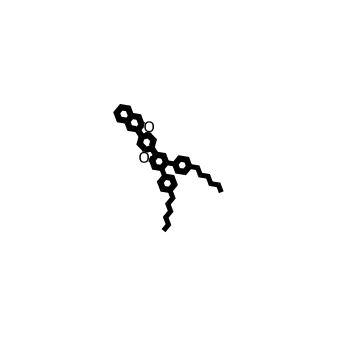 CCCCCCc1ccc(-c2cc3oc4cc5c(cc4c3cc2-c2ccc(CCCCCC)cc2)oc2cc3ccccc3cc25)cc1